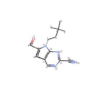 CC(C)(C)CCn1c(C=O)cc2cnc(C#N)nc21